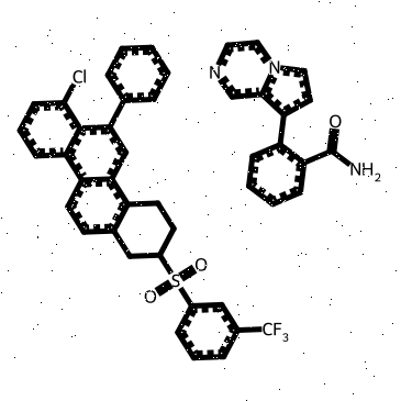 NC(=O)c1ccccc1-c1ccn2ccncc12.O=S(=O)(c1cccc(C(F)(F)F)c1)C1CCc2c(ccc3c2cc(-c2ccccc2)c2c(Cl)cccc23)C1